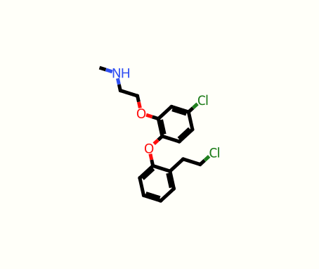 CNCCOc1cc(Cl)ccc1Oc1ccccc1CCCl